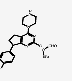 CC(C)(C)OC=O.Fc1ccc(C2CCc3c2nc(Cl)nc3N2CCNCC2)cc1